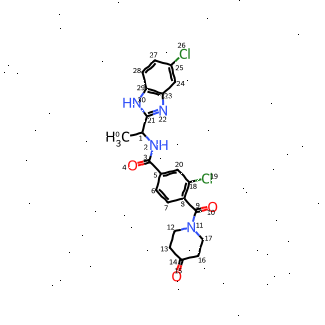 CC(NC(=O)c1ccc(C(=O)N2CCC(=O)CC2)c(Cl)c1)c1nc2cc(Cl)ccc2[nH]1